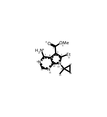 CCc1c(C(=O)OC)c2c(N)ncnc2n1C1(C)CC1